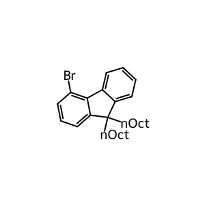 CCCCCCCCC1(CCCCCCCC)c2ccccc2-c2c(Br)cccc21